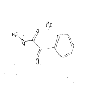 COC(=O)C(=O)c1ccccc1.O